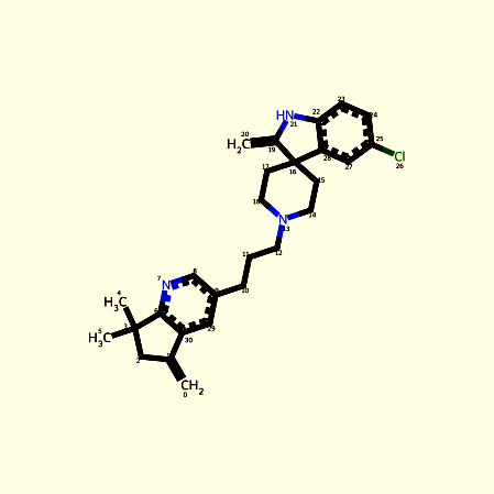 C=C1CC(C)(C)c2ncc(CCCN3CCC4(CC3)C(=C)Nc3ccc(Cl)cc34)cc21